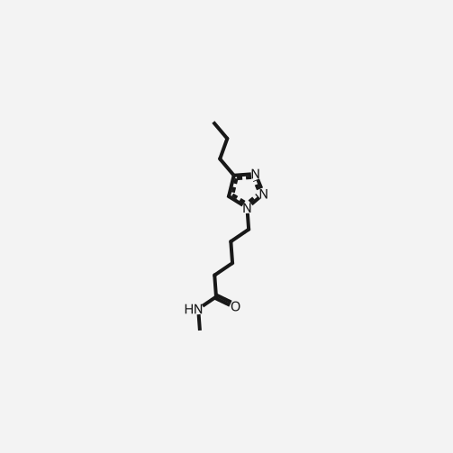 CCCc1cn(CCCCC(=O)NC)nn1